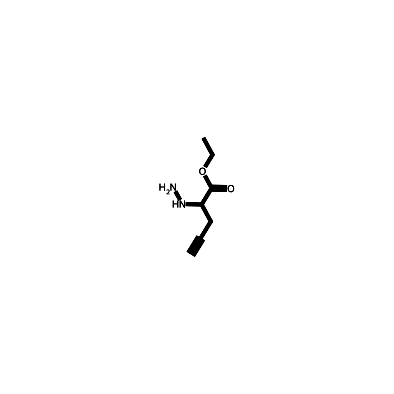 C#CCC(NN)C(=O)OCC